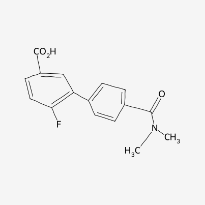 CN(C)C(=O)c1ccc(-c2cc(C(=O)O)ccc2F)cc1